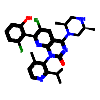 Cc1ccnc(C(C)C)c1-n1c(=O)nc(N2C[C@@H](C)NC[C@@H]2C)c2cc(Cl)c(-c3c(O)cccc3F)nc21